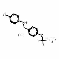 CCOC(=O)C(C)(C)Oc1ccc(CNc2ccc(Cl)cc2)cc1.Cl